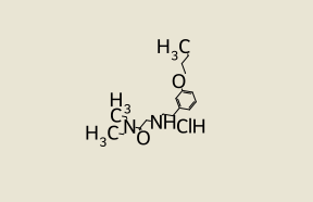 CCCCOc1cccc(CCNCC(=O)N(CC)CC)c1.Cl